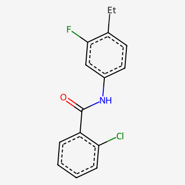 CCc1ccc(NC(=O)c2ccccc2Cl)cc1F